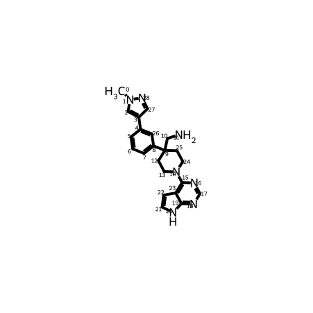 Cn1cc(-c2cccc(C3(CN)CCN(c4ncnc5[nH]ccc45)CC3)c2)cn1